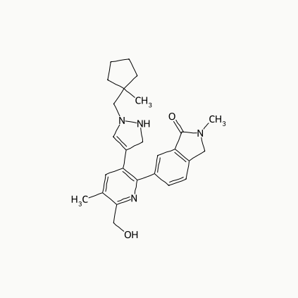 Cc1cc(C2=CN(CC3(C)CCCC3)NC2)c(-c2ccc3c(c2)C(=O)N(C)C3)nc1CO